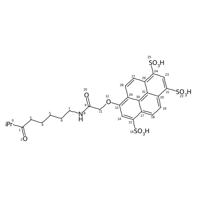 CC(C)C(=O)CCCCCNC(=O)COc1cc(S(=O)(=O)O)c2ccc3c(S(=O)(=O)O)cc(S(=O)(=O)O)c4ccc1c2c43